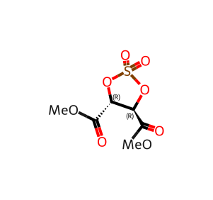 COC(=O)[C@@H]1OS(=O)(=O)O[C@H]1C(=O)OC